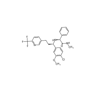 CNC(=O)[C@@H](N[C@H](CCc1ccc(C(F)(F)F)nc1)c1ccc(Cl)c(OC)c1)c1ccccc1